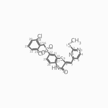 CSc1nccc(/C=C2\Sc3cc(S(=O)(=O)Cc4c(Cl)cccc4Cl)ccc3NC2=O)n1